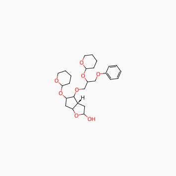 OC1C[C@@H]2C(CC(OC3CCCCO3)C2OCC(COc2ccccc2)OC2CCCCO2)O1